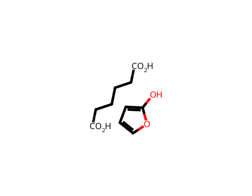 O=C(O)CCCCC(=O)O.Oc1ccco1